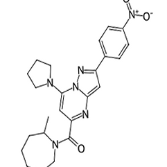 CC1CCCCCN1C(=O)c1cc(N2CCCC2)n2nc(-c3ccc([N+](=O)[O-])cc3)cc2n1